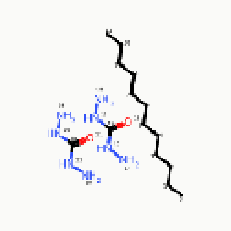 CCCCCCCCCCCC.NNC(=O)NN.NNC(=O)NN